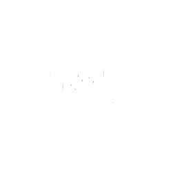 Oc1ccccc1C1=NN(c2ccccc2Br)NC(c2ccccc2)C1